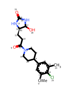 COc1cc(C2CCN(C(=O)CC[C@H]3NC(=O)NC3O)CC2)cc(C)c1Cl